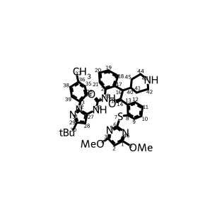 COc1cc(OC)nc(Sc2ccccc2C(=O)C(c2ccccc2NC(=O)Nc2cc(C(C)(C)C)nn2-c2ccc(C)cc2)C2CCNCC2)n1